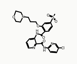 CS(=O)(=O)c1ccc(C(=O)Nc2cccnc2C(=O)Nc2ccc(Cl)cn2)c(OCCCN2CCOCC2)c1